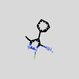 Cc1nn(F)c(N)c1-c1ccccc1